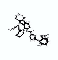 COCc1nc2c(N3CCCC3CN)c(NC(=O)c3ccnc(-c4c(F)cccc4OC)n3)ccc2n1C